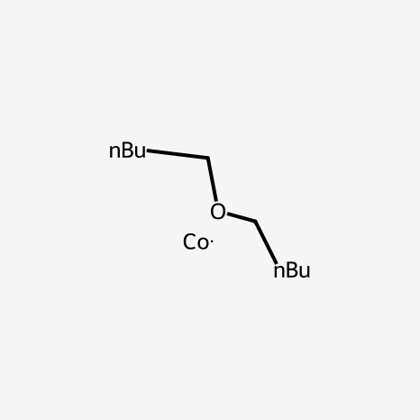 CCCCCOCCCCC.[Co]